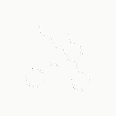 CCCOc1c(C)ccc(-c2ccccc2)c1C=Cc1ccccc1